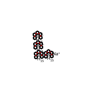 [Na+].c1ccc([BH15-17](c2ccccc2)(c2ccccc2)(c2ccccc2)c2ccccc2)cc1.c1ccc([BH15-17](c2ccccc2)(c2ccccc2)(c2ccccc2)c2ccccc2)cc1.c1ccc([BH15-17](c2ccccc2)(c2ccccc2)(c2ccccc2)c2ccccc2)cc1.c1ccc([BH15-17](c2ccccc2)(c2ccccc2)(c2ccccc2)c2ccccc2)cc1